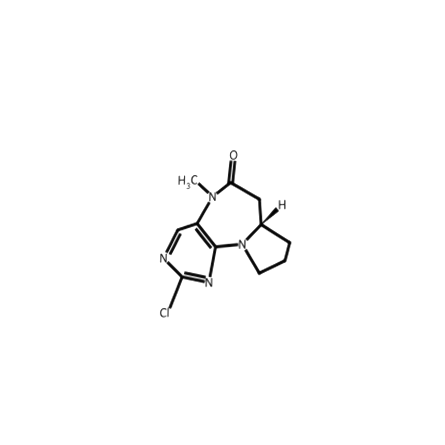 CN1C(=O)C[C@@H]2CCCN2c2nc(Cl)ncc21